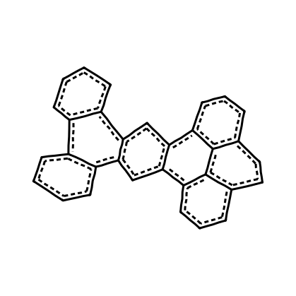 c1ccc2c(c1)c1ccccc1c1cc3c(cc21)c1cccc2ccc4cccc3c4c21